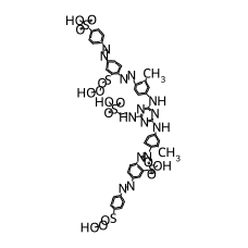 Cc1cc(Nc2nc(NCCS(=O)(=O)O)nc(Nc3ccc(N=Nc4ccc(N=Nc5ccc(SOOO)cc5)cc4S(=O)(=O)O)c(C)c3)n2)ccc1N=Nc1ccc(N=Nc2ccc(S(=O)(=O)O)cc2)cc1SOOO